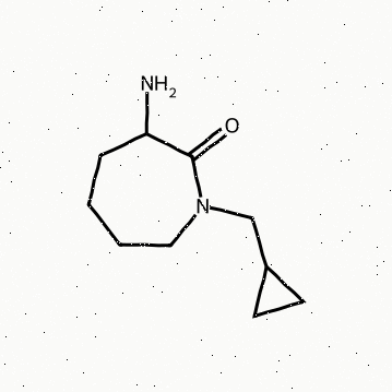 NC1CCCCN(CC2CC2)C1=O